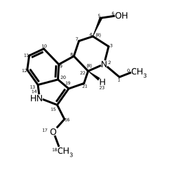 CCN1C[C@H](CO)CC2c3cccc4[nH]c(COC)c(c34)C[C@H]21